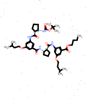 CCCCOC(=O)c1cc(NC(=O)[C@H]2CCC[C@@H]2NC(=O)c2cc(NC(=O)[C@H]3CCC[C@@H]3NC(=O)OC(C)(C)C)cc(OCCC(C)C)c2)cc(OCCC(C)C)c1